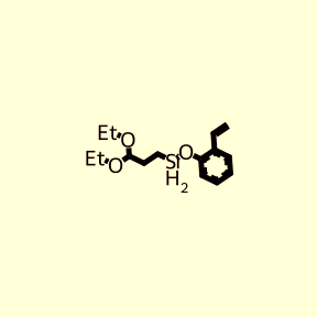 C=Cc1ccccc1O[SiH2]CCC(OCC)OCC